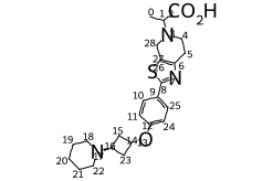 CC(C(=O)O)N1CCc2nc(-c3ccc(O[C@H]4C[C@H](N5CCCCC5)C4)cc3)sc2C1